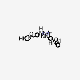 C=N/C(=N\C(Nc1ccc(C(=O)Nc2ccccc2Cl)cc1)=C(/C)F)Nc1ccc(CC(=O)N2CCCNCC2)cc1